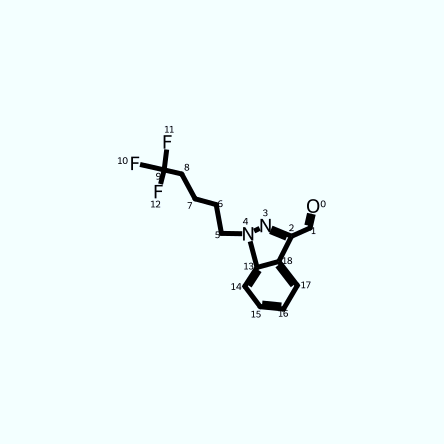 O=Cc1nn(CCCCC(F)(F)F)c2ccccc12